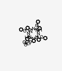 O=S(=O)(Cl)c1ccc2c3nc4nc(nc5[nH]c(nc6nc(nc([nH]3)c2c1Oc1ccccc1)-c1cccc(Oc2ccccc2)c1-6)c1cccc(Oc2ccccc2)c51)-c1cccc(Oc2ccccc2)c1-4